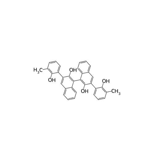 Cc1cccc(-c2cc3ccccc3c(-c3c(O)c(-c4cccc(C)c4O)cc4ccccc34)c2O)c1O